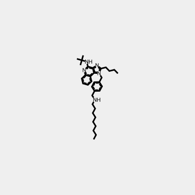 CCCCCCCCCNCc1ccc(Cn2c(CCCC)nc3c(NC(C)(C)C)nc4ccccc4c32)cc1